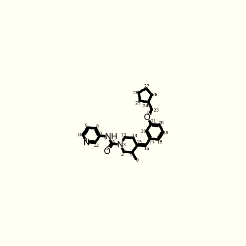 CC1CN(C(=O)Nc2cccnc2)CC/C1=C\c1cccc(OCC2CCCC2)c1